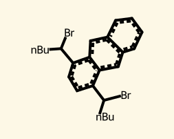 CCCCC(Br)c1ccc(C(Br)CCCC)c2cc3ccccc3cc12